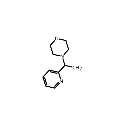 [CH2]C(c1ccccn1)N1CCOCC1